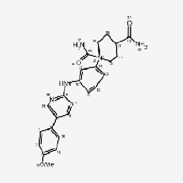 COc1ccc(-c2cnc(Nc3cccc([N+]4(C(N)=O)CCC(C(N)=O)CC4)c3)nc2)cc1